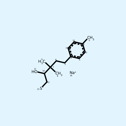 Cc1ccc(CCC(C)(C)C(O)C[S-])cc1.[Na+]